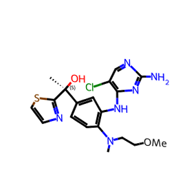 COCCN(C)c1ccc([C@](C)(O)c2nccs2)cc1Nc1nc(N)ncc1Cl